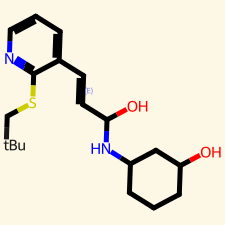 CC(C)(C)CSc1ncccc1/C=C/C(O)NC1CCCC(O)C1